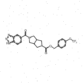 O=C(OCc1ccc(OC(F)(F)F)cc1)N1CC2CN(C(=O)c3ccc4[nH]nnc4c3)CC2C1